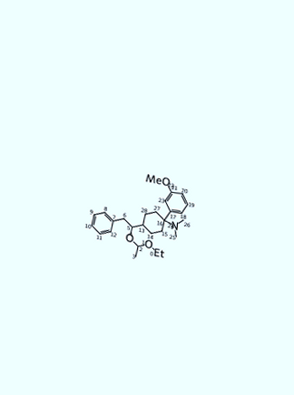 CCOC(C)OC(Cc1ccccc1)C1CCC(c2cccc(OC)c2)(N(C)C)CC1